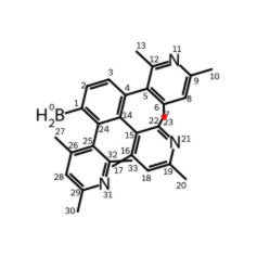 Bc1ccc(-c2c(C)cc(C)nc2C)c(-c2c(C)cc(C)nc2C)c1-c1c(C)cc(C)nc1C